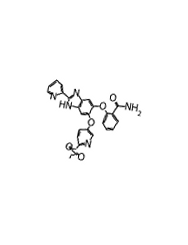 CS(=O)(=O)c1ccc(Oc2cc3[nH]c(-c4ccccn4)nc3cc2Oc2ccccc2C(N)=O)cn1